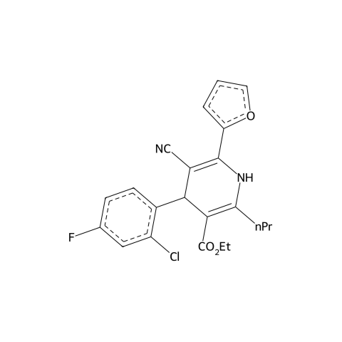 CCCC1=C(C(=O)OCC)C(c2ccc(F)cc2Cl)C(C#N)=C(c2ccco2)N1